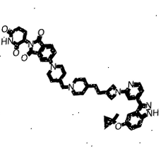 CC1(Oc2ccc3[nH]nc(-c4ccnc(N5CC(CCC6CCN(CC7CCN(c8ccc9c(c8)C(=O)N(C8CCC(=O)NC8=O)C9=O)CC7)CC6)C5)c4)c3c2)CC1